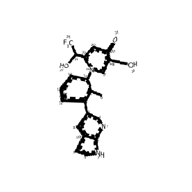 Cc1c(-c2cnc3[nH]ccc3c2)cccc1-n1cc(O)c(=O)cc1C(O)C(F)(F)F